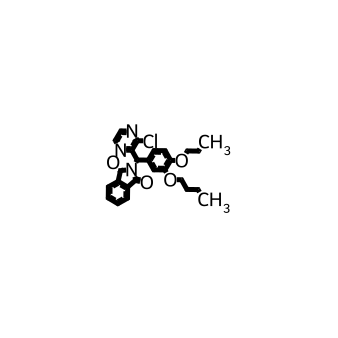 CCCCOc1cc(C(c2nccnc2Cl)N2C(=O)c3ccccc3C2=O)ccc1OCCC